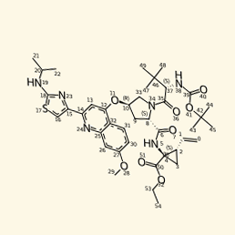 C=C[C@@H]1C[C@]1(NC(=O)[C@@H]1C[C@@H](Oc2cc(-c3csc(NC(C)C)n3)nc3cc(OC)ccc23)CN1C(=O)[C@@H](NC(=O)OC(C)(C)C)C(C)(C)C)C(=O)OCC